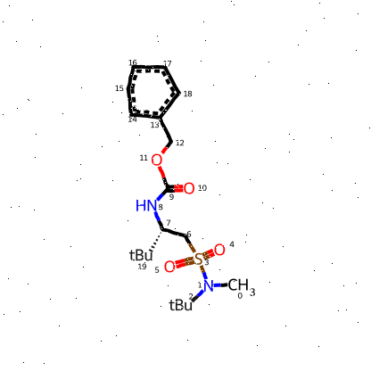 CN(C(C)(C)C)S(=O)(=O)C[C@@H](NC(=O)OCc1ccccc1)C(C)(C)C